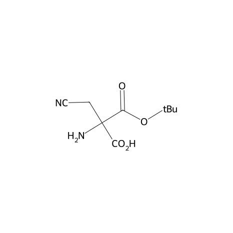 CC(C)(C)OC(=O)C(N)(CC#N)C(=O)O